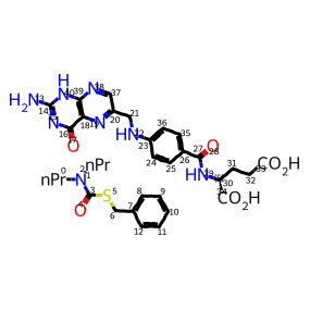 CCCN(CCC)C(=O)SCc1ccccc1.Nc1nc(=O)c2nc(CNc3ccc(C(=O)N[C@@H](CCC(=O)O)C(=O)O)cc3)cnc2[nH]1